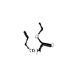 C=CCC(=O)O.CCOC(C)=O